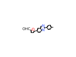 Cc1ccc(-c2ncc3cc(-c4ccc(C=O)o4)ccc3n2)cc1